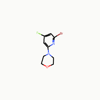 Fc1cc(Br)nc(N2CCOCC2)c1